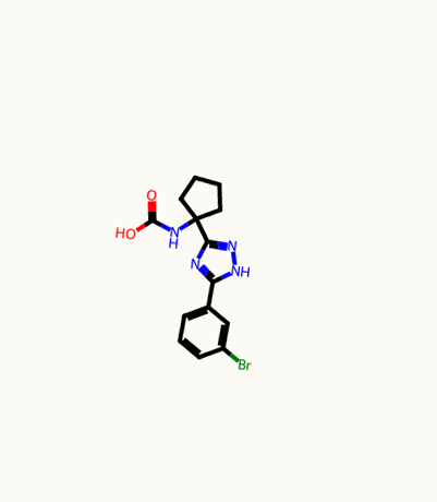 O=C(O)NC1(c2n[nH]c(-c3cccc(Br)c3)n2)CCCC1